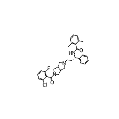 Cc1cccc(C)c1C(=O)N[C@@H](CCN1CC2CN(C(=O)c3c(F)cccc3Cl)CC2C1)c1ccccc1